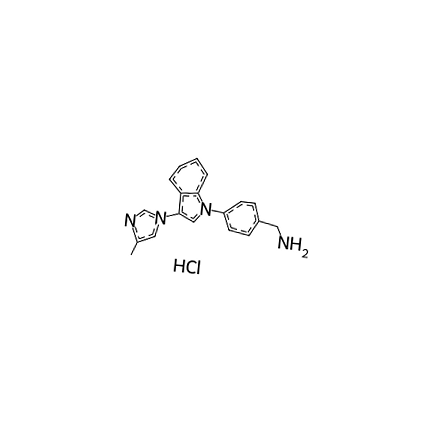 Cc1cn(-c2cn(-c3ccc(CN)cc3)c3ccccc23)cn1.Cl